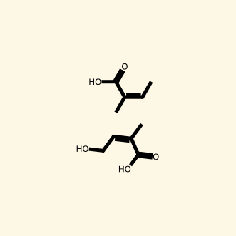 CC(=CCO)C(=O)O.CC=C(C)C(=O)O